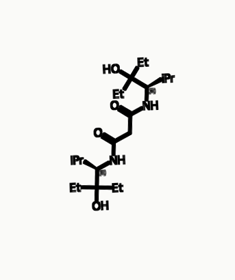 CCC(O)(CC)[C@H](NC(=O)CC(=O)N[C@H](C(C)C)C(O)(CC)CC)C(C)C